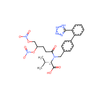 CC(C)[C@@H](C(=O)O)N(Cc1ccc(-c2ccccc2-c2nnn[nH]2)cc1)C(=O)CCC(CO[N+](=O)[O-])O[N+](=O)[O-]